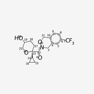 O=C(N1Cc2cc(C(F)(F)F)ccc2CO1)[C@@]1(C2CC2)CCC(O)CO1